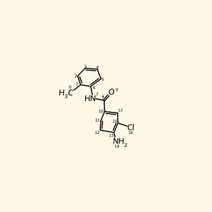 Cc1ccccc1NC(=O)c1ccc(N)c(Cl)c1